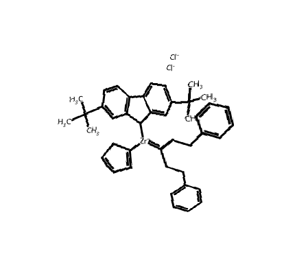 CC(C)(C)c1ccc2c(c1)[CH]([Zr+2]([C]1=CC=CC1)=[C](CCc1ccccc1)CCc1ccccc1)c1cc(C(C)(C)C)ccc1-2.[Cl-].[Cl-]